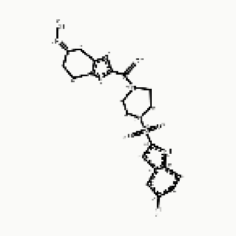 O=C(c1nc2c(s1)C/C(=N\O)CC2)N1CCN(S(=O)(=O)c2cc3cc(Cl)ccc3[nH]2)CC1